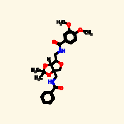 COc1ccc(C(=O)NCC2OC[C@]3(CNC(=O)c4ccccc4)OC(C)(C)O[C@H]23)cc1OC